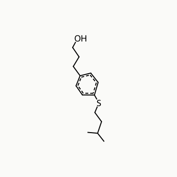 CC(C)CCSc1ccc(CCCO)cc1